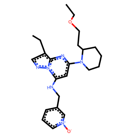 CCOCCC1CCCCN1c1cc(NCc2ccc[n+]([O-])c2)n2ncc(CC)c2n1